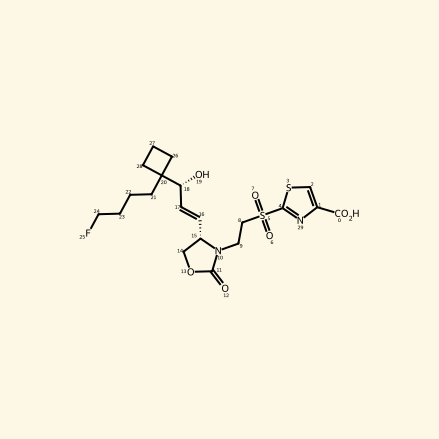 O=C(O)c1csc(S(=O)(=O)CCN2C(=O)OC[C@@H]2/C=C/[C@@H](O)C2(CCCCF)CCC2)n1